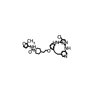 Cc1occc1NC(=O)N1CCC(CCOc2ccc3cc2CCc2cncc(c2)Nc2ncc(Cl)c(n2)N3)CC1